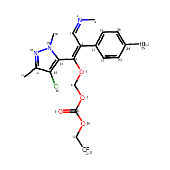 C/N=C\C(=C(\OCOC(=O)OCC(F)(F)F)c1c(Cl)c(C)nn1C)c1ccc(C(C)(C)C)cc1